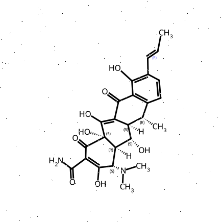 C/C=C/c1ccc2c(c1O)C(=O)C1=C(O)[C@]3(O)C(=O)C(C(N)=O)=C(O)[C@@H](N(C)C)[C@@H]3[C@@H](O)[C@@H]1[C@H]2C